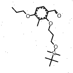 CCCOc1ccc(C=O)c(OCCCO[Si](C)(C)C(C)(C)C)c1C